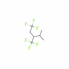 CC(C)C(CC(F)(F)F)C(F)(F)F